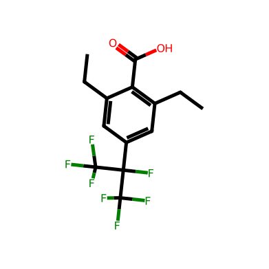 CCc1cc(C(F)(C(F)(F)F)C(F)(F)F)cc(CC)c1C(=O)O